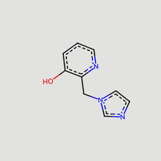 Oc1cccnc1Cn1ccnc1